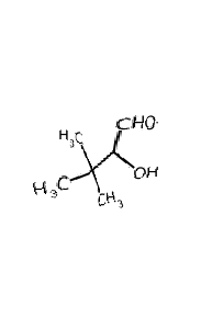 CC(C)(C)C(O)[C]=O